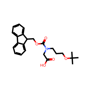 CC(C)(C)OCCCN(CC(=O)O)C(=O)OCC1c2ccccc2-c2ccccc21